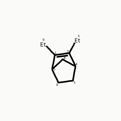 CCC1=C(CC)C2CCC1C2